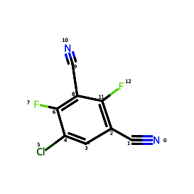 N#Cc1[c]c(Cl)c(F)c(C#N)c1F